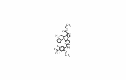 CCOC(=O)c1ncn2c1C(CC)N(C1CCCC1)c1nc(Nc3cc(F)c(C(=O)O)cc3OC)ncc1-2